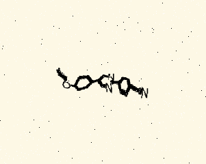 CCCOC1CCC(c2cnc(-c3ccc(C#N)cc3)nc2)CC1